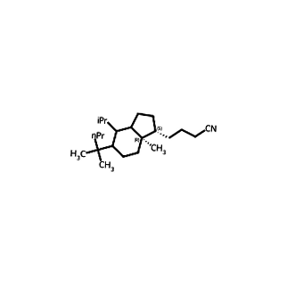 CCCC(C)(C)C1CC[C@@]2(C)C(CC[C@@H]2CCCC#N)C1C(C)C